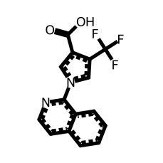 O=C(O)c1cn(-c2nccc3ccccc23)cc1C(F)(F)F